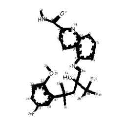 CNC(=O)c1ccc2c(N=CC(O)(CC(C)(C)c3cc(F)ccc3OC)C(F)(F)F)cccc2n1